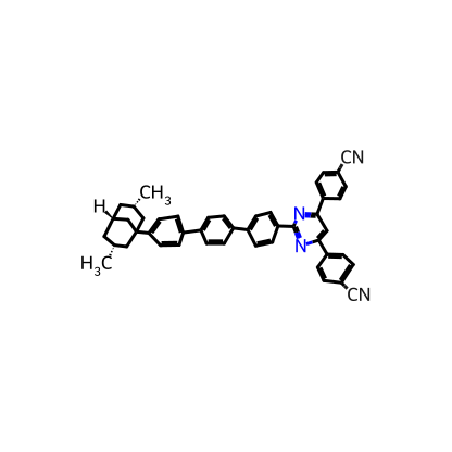 C[C@@H]1C[C@@H]2C[C@H](C)CC(c3ccc(-c4ccc(-c5ccc(-c6nc(-c7ccc(C#N)cc7)cc(-c7ccc(C#N)cc7)n6)cc5)cc4)cc3)(C1)C2